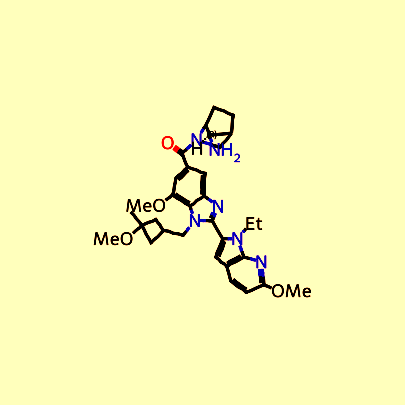 CCn1c(-c2nc3cc(C(=O)N4CC5CCC4[C@@H]5N)cc(OC)c3n2CC2CC(C)(OC)C2)cc2ccc(OC)nc21